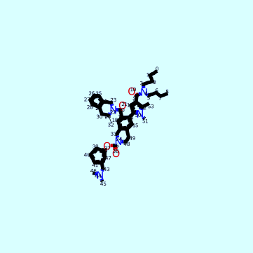 CCCCN(CCCC)C(=O)c1cc(-c2cc3c(cc2C(=O)N2Cc4ccccc4C[C@H]2C)CN(C(=O)Oc2cccc(CN(C)C)c2)CC3)n(C)c1C